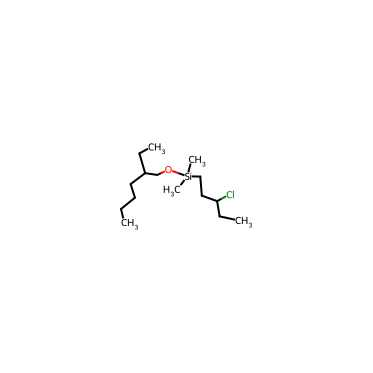 CCCCC(CC)CO[Si](C)(C)CCC(Cl)CC